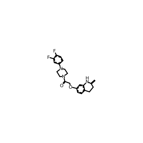 C=C1CCc2ccc(OCC(=O)N3CCN(c4ccc(F)c(F)c4)CC3)cc2N1